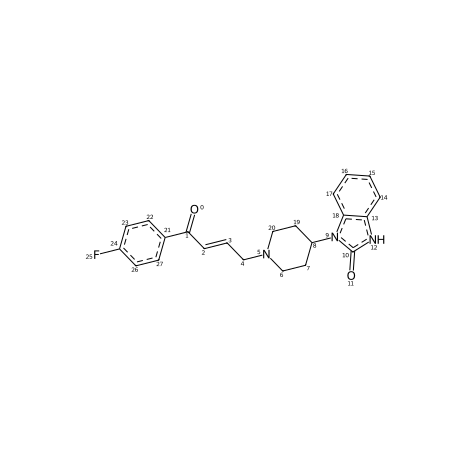 O=C(C=CCN1CCC(n2c(=O)[nH]c3ccccc32)CC1)c1ccc(F)cc1